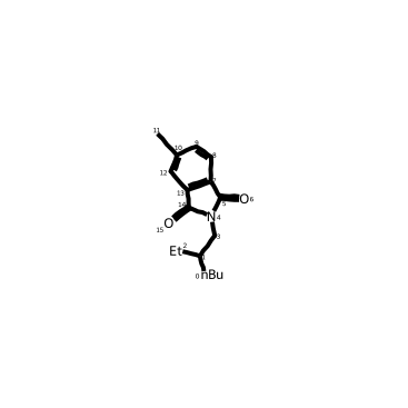 CCCCC(CC)CN1C(=O)c2ccc(C)cc2C1=O